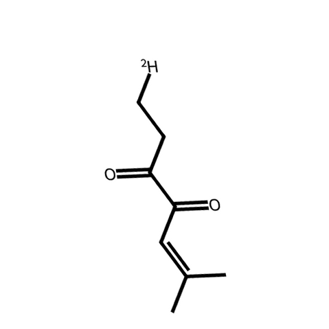 [2H]CCC(=O)C(=O)C=C(C)C